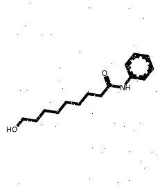 O=C(CCCCCCCCO)Nc1ccccc1